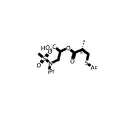 CC(=O)SC[C@@H](C)C(=O)OC(CN(C(C)C)S(C)(=O)=O)C(=O)O